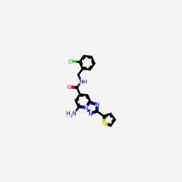 Nc1cc(C(=O)NCc2ccccc2Cl)cc2nc(-c3cccs3)nn12